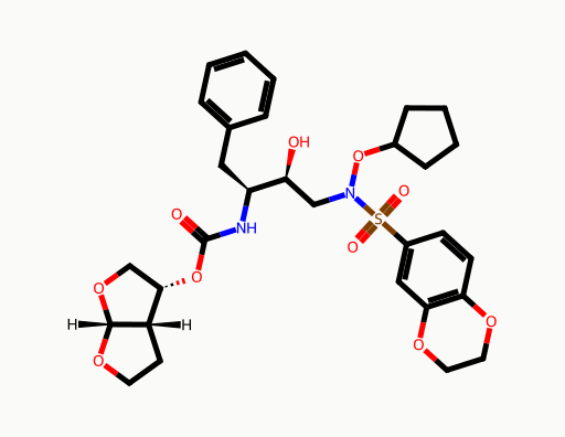 O=C(N[C@@H](Cc1ccccc1)[C@@H](O)CN(OC1CCCC1)S(=O)(=O)c1ccc2c(c1)OCCO2)O[C@H]1CO[C@H]2OCC[C@H]21